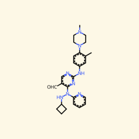 Cc1cc(Nc2ncc(C=O)c(N(NC3CCC3)c3ccccn3)n2)ccc1N1CCN(C)CC1